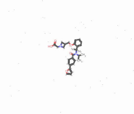 [2H]C([2H])(c1ccccc1OCC1CN(CC(=O)O)C1)N(C(=O)c1ccc(-c2ccco2)cc1)C(C)C